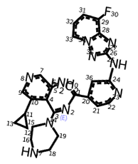 C=C(/N=C(\c1c(N)cncc1C1CC1)N1CCNCC1)c1ccnc(Nc2nc3c(F)cccn3n2)c1